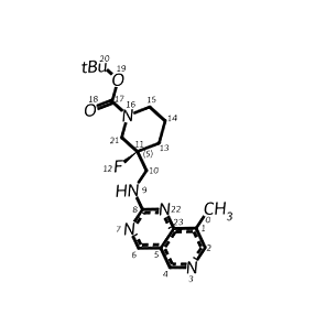 Cc1cncc2cnc(NC[C@@]3(F)CCCN(C(=O)OC(C)(C)C)C3)nc12